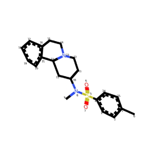 Cc1ccc(S(=O)(=O)N(C)C2CCN3CCc4ccccc4C3C2)cc1